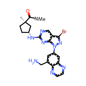 CNC(=O)[C@]1(C)CC[C@@H](Nc2ncc3c(Br)nn(-c4cc(CN)c5nccnc5c4)c3n2)C1